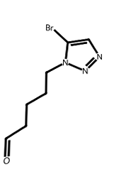 O=CCCCCn1nncc1Br